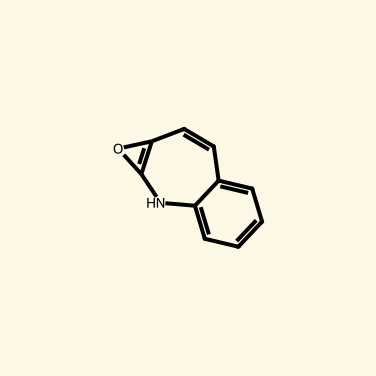 c1ccc2[nH]c3oc=3ccc2c1